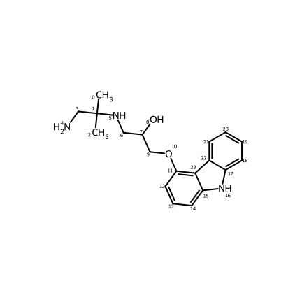 CC(C)(CN)NCC(O)COc1cccc2[nH]c3ccccc3c12